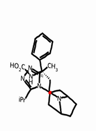 Cc1nnc(C(C)C)n1C1CC2CCC(C1)N2CC[C@H](NC(=O)O)c1ccccc1